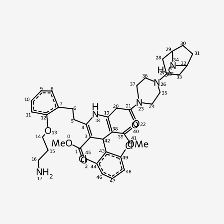 COC(=O)C1=C(CCc2ccccc2OCCCN)NC(CC(=O)N2CCN(C3CC4CCC(C3)N4C)CC2)=C(C(=O)OC)C1c1c(Cl)cccc1Cl